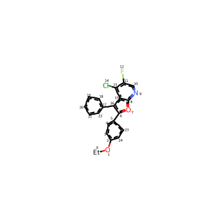 [CH2]COc1ccc(-c2oc3ncc(F)c(Cl)c3c2-c2ccccc2)cc1